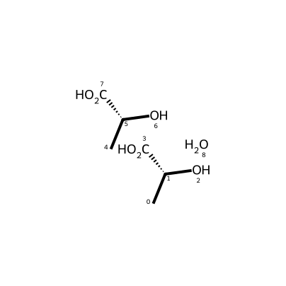 C[C@@H](O)C(=O)O.C[C@@H](O)C(=O)O.O